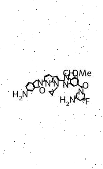 COc1cc(C(=O)N2C[C@H](N)C[C@@H](F)C2)cc2nc(-c3cc4ccc(N5Cc6ccc(N)cc6C5=O)nc4n3CC3CC3)n(C)c12